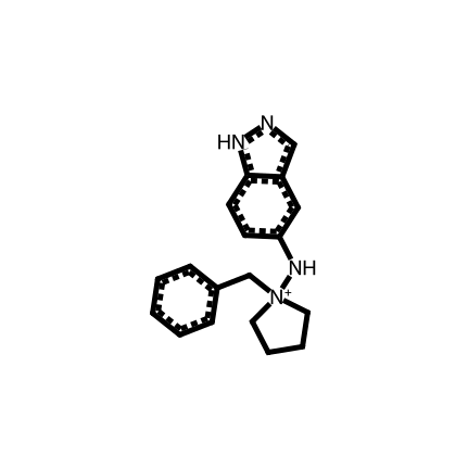 c1ccc(C[N+]2(Nc3ccc4[nH]ncc4c3)CCCC2)cc1